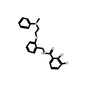 CN(CCOc1ccccc1CNC(=O)c1cccc(Cl)c1Cl)c1ccccc1